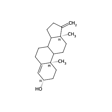 C=C1CCC2C3CCC4=C[C@@H](O)CC[C@]4(C)C3CC[C@]12C